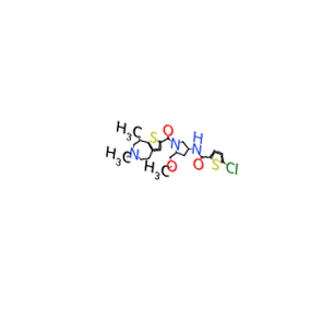 COCC1CC(NC(=O)c2ccc(Cl)s2)CN1C(=O)c1cc2c(s1)C(C)CN(C)CC2